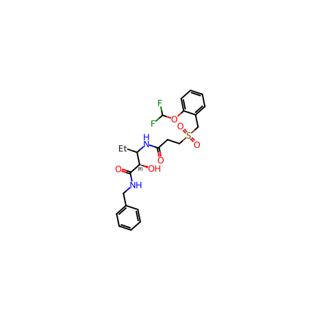 CCC(NC(=O)CCS(=O)(=O)Cc1ccccc1OC(F)F)[C@@H](O)C(=O)NCc1ccccc1